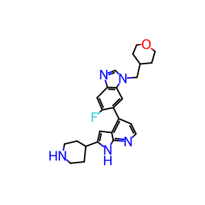 Fc1cc2ncn(CC3CCOCC3)c2cc1-c1ccnc2[nH]c(C3CCNCC3)cc12